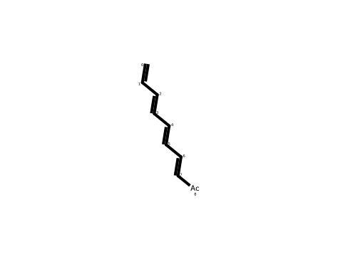 C=CC=CC=CC=CC(C)=O